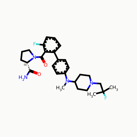 CN(c1ccc(-c2cccc(F)c2C(=O)N2CCC[C@H]2C(N)=O)cc1)C1CCN(CC(C)(C)F)CC1